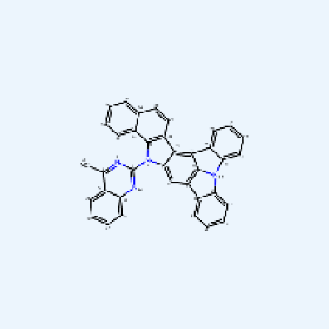 N#Cc1nc(-n2c3cc4c5ccccc5n5c6ccccc6c(c3c3ccc6ccccc6c32)c45)nc2ccccc12